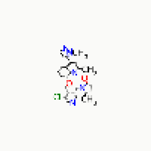 Cc1cc(-c2ccnn2C)c2cccc(OCc3c(Cl)cncc3CN3C(=O)CCC3C)c2n1